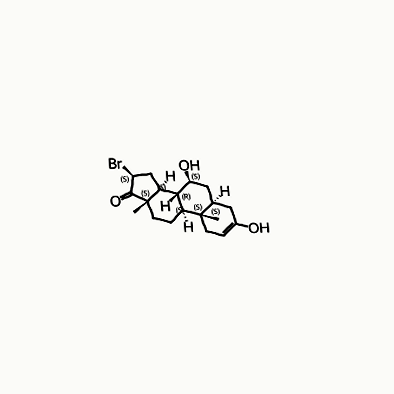 C[C@]12CC=C(O)C[C@@H]1C[C@H](O)[C@@H]1[C@@H]2CC[C@]2(C)C(=O)[C@@H](Br)C[C@@H]12